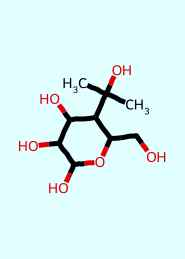 CC(C)(O)C1C(CO)OC(O)C(O)C1O